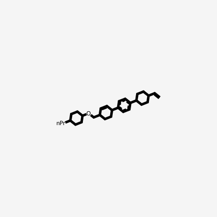 C=CC1CCC(c2ccc(C3C=CC(COC4CCC(CCC)CC4)CC3)cc2)CC1